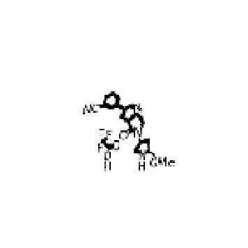 COC[C@@H]1C[C@@H](N2Cc3ncc(-c4cccc(C#N)c4)cc3C2=O)CN1.O=C(O)C(F)(F)F